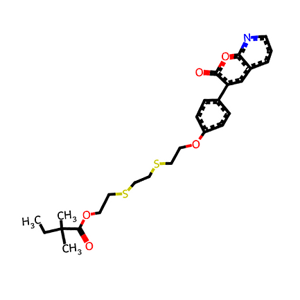 CCC(C)(C)C(=O)OCCSCCSCCOc1ccc(-c2cc3cccnc3oc2=O)cc1